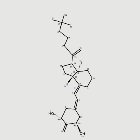 C=C1[C@H](O)CC(=C/C=C2\CCC[C@]3(C)[C@@H](C(=C)CCCC(C)(C)C)CC[C@@H]23)C[C@H]1O